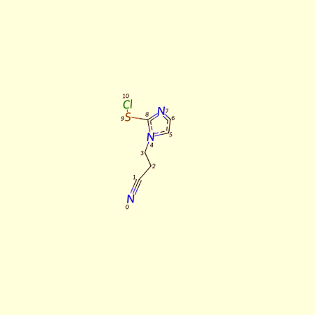 N#CCCn1ccnc1SCl